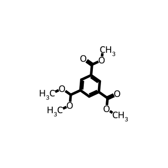 COC(=O)c1cc(C(=O)OC)cc(C(OC)OC)c1